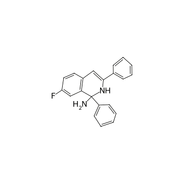 NC1(c2ccccc2)NC(c2ccccc2)=Cc2ccc(F)cc21